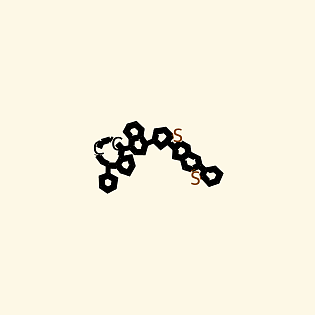 c1ccc(-c2ccccccc(-c3ccc(-c4ccc5sc6cc7cc8c(cc7cc6c5c4)sc4ccccc48)c4ccccc34)c3ccccc23)cc1